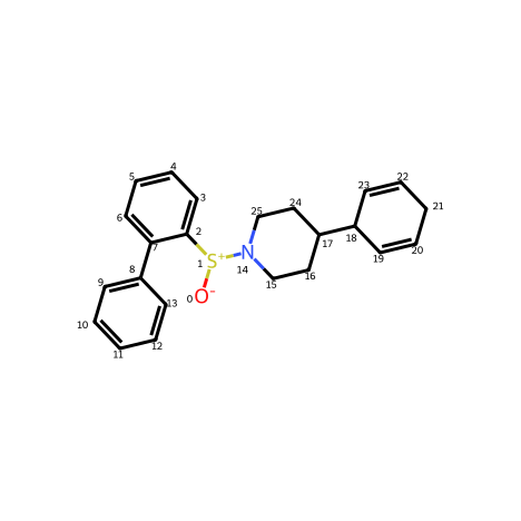 [O-][S+](c1ccccc1-c1ccccc1)N1CCC(C2C=CCC=C2)CC1